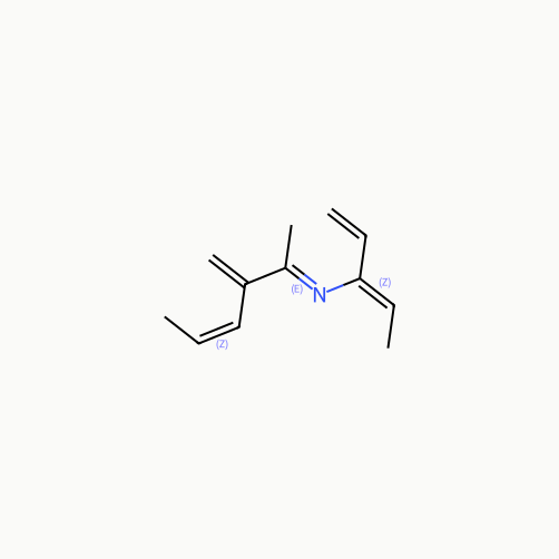 C=CC(=C/C)/N=C(\C)C(=C)/C=C\C